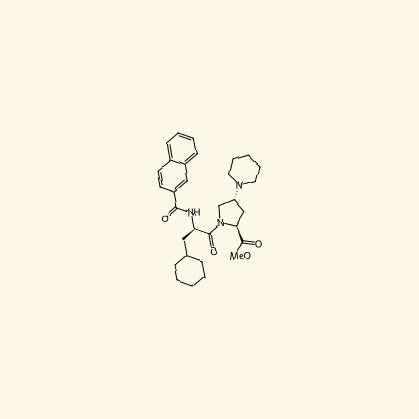 COC(=O)[C@@H]1C[C@@H](N2CCCCC2)CN1C(=O)[C@@H](CC1CCCCC1)NC(=O)c1ccc2ccccc2c1